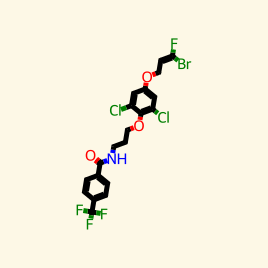 O=C(NCCCOc1c(Cl)cc(OCC=C(F)Br)cc1Cl)c1ccc(C(F)(F)F)cc1